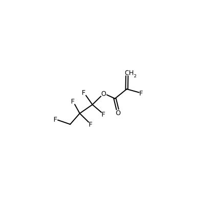 C=C(F)C(=O)OC(F)(F)C(F)(F)CF